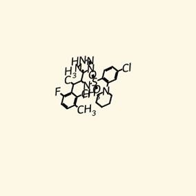 Cc1ccc(F)c(C(C)C(NS(=O)(=O)c2ccc(Cl)cc2N2CCCCC2)c2nn[nH]n2)c1C